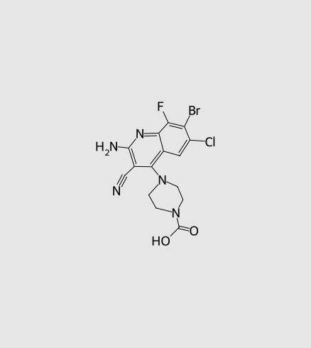 N#Cc1c(N)nc2c(F)c(Br)c(Cl)cc2c1N1CCN(C(=O)O)CC1